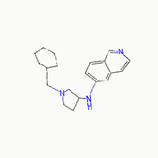 c1cc2cc(NC3CCN(CC4CCCCC4)C3)ccc2cn1